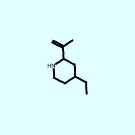 C=C(C)C1CC(CC)CCN1